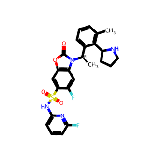 Cc1cccc([C@@H](C)n2c(=O)oc3cc(S(=O)(=O)Nc4cccc(F)n4)c(F)cc32)c1C1CCCN1